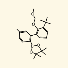 COCOc1c(-c2cc(C)ccc2B2OC(C)(C)C(C)(C)O2)cccc1C(C)(C)C